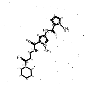 Cn1cc(NC(=O)c2cccn2C)cc1C(=O)NCCC(=N)N1CCCCC1